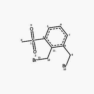 CS(=O)(=O)c1cccc(CBr)c1CBr